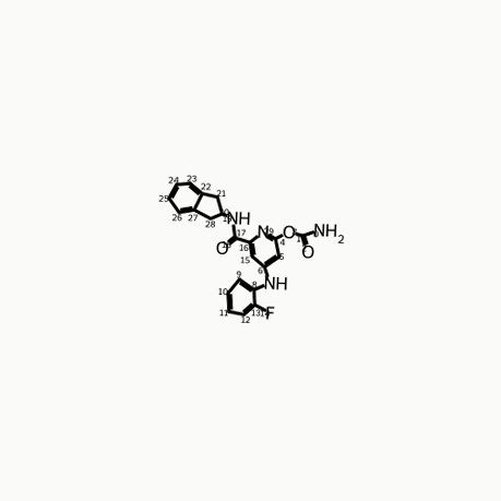 NC(=O)Oc1cc(Nc2ccccc2F)cc(C(=O)NC2Cc3ccccc3C2)n1